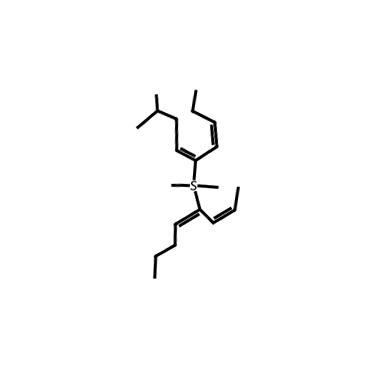 C/C=C\C(=C/CCC)S(C)(C)C(/C=C\CC)=C/CC(C)C